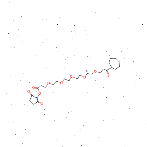 O=C(CCOCCOCCOCCOCCOCCC(=O)C1CCCCCC1)ON1C(=O)CCC1=O